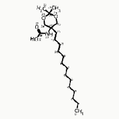 CCCCCCCCCCCCCCC1(NC(=O)O)COC(C)(C)OC1